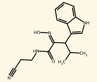 CC(C)C(C(=NO)C(=O)NCCC#N)c1c[nH]c2ccccc12